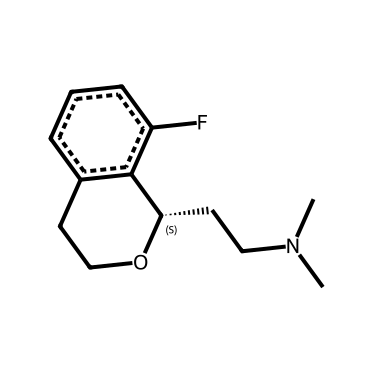 CN(C)CC[C@@H]1OCCc2cccc(F)c21